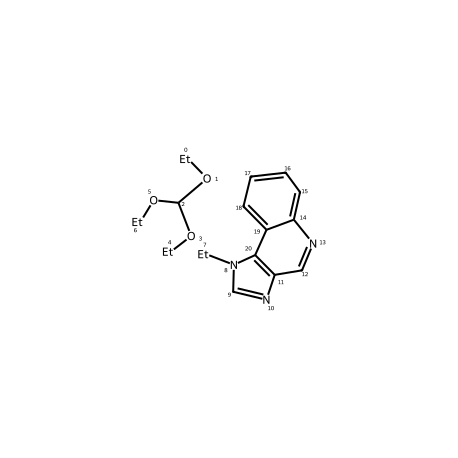 CCOC(OCC)OCC.CCn1cnc2cnc3ccccc3c21